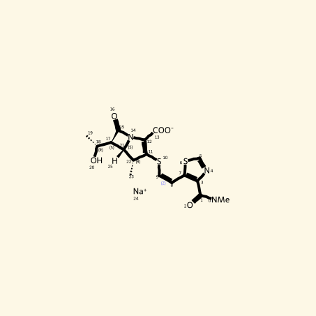 CNC(=O)c1ncsc1/C=C\SC1=C(C(=O)[O-])N2C(=O)[C@H]([C@@H](C)O)[C@H]2[C@H]1C.[Na+]